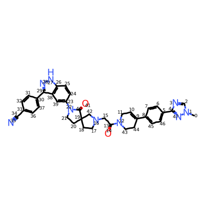 Cn1cnc(-c2ccc(C3=CCN(C(=O)CN4CCC5(CCN(c6ccc7[nH]nc(-c8ccc(C#N)cc8)c7c6)C5=O)C4)CC3)cc2)n1